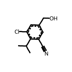 CC(C)c1c(Cl)cc(CO)cc1C#N